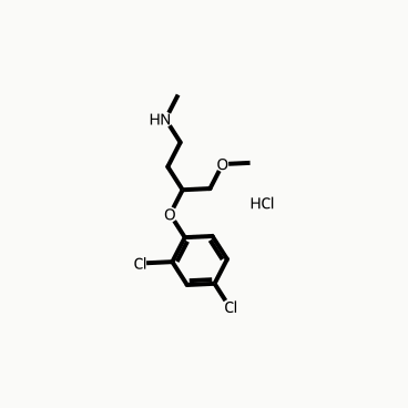 CNCCC(COC)Oc1ccc(Cl)cc1Cl.Cl